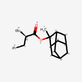 CC(C)C[C@H](C(=O)OC1(C)C2CC3CC(C2)CC1C3)C(C)(C)C